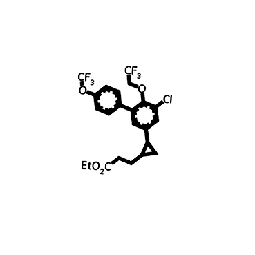 CCOC(=O)CCC1CC1c1cc(Cl)c(OCC(F)(F)F)c(-c2ccc(OC(F)(F)F)cc2)c1